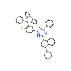 c1ccc(-c2nc(-c3ccc4c(c3)C3(c5ccccc5S4)c4ccccc4-c4ccccc43)nc(-c3ccc(-c4ccccc4)c4ccccc34)n2)cc1